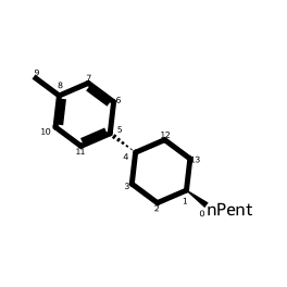 CCCCC[C@H]1CC[C@H](c2ccc(C)cc2)CC1